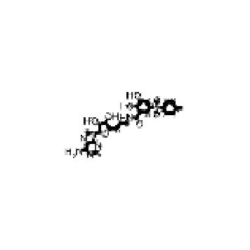 Cc1ccc(S(=O)(=O)c2cc(O)c(O)c(C(=O)NC/C=C/C3OC(n4cnc5c(N)ncnc54)C(O)C3O)c2)cc1